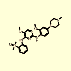 COc1cc(N2CCN(C)CC2)ccc1Nc1ncc(OC)c(Nc2ccccc2P(C)(C)=O)n1